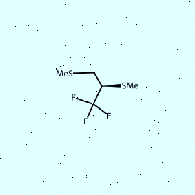 CSC[C@@H](SC)C(F)(F)F